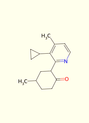 Cc1ccnc(C2CC(C)CCC2=O)c1C1CC1